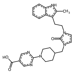 Cc1[nH]c2ccccc2c1CCn1ccn(CC2CCN(c3ncc(C(=O)O)cn3)CC2)c1=O